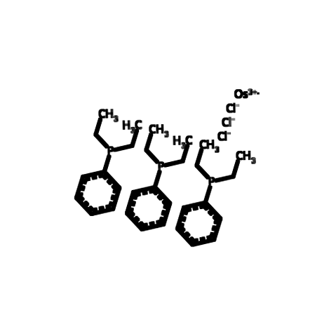 CCP(CC)c1ccccc1.CCP(CC)c1ccccc1.CCP(CC)c1ccccc1.[Cl-].[Cl-].[Cl-].[Os+3]